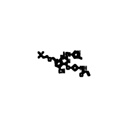 C=CC(=O)NC1CC(Oc2nc(Nc3cnn(C)c3)nc3c2c(C#N)cn3COCC[Si](C)(C)C)C1